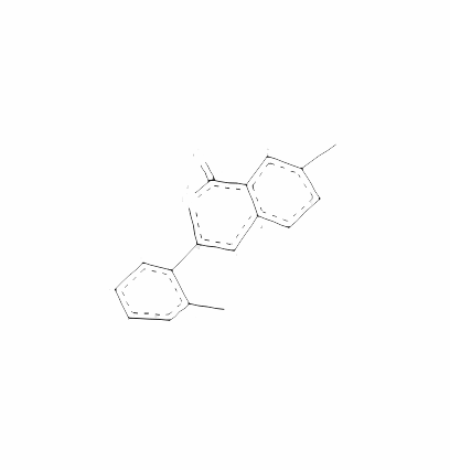 Cc1ccc2cc(-c3ccccc3C)oc(=O)c2c1